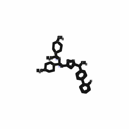 CC(c1ccc(-c2ccccc2F)cc1)c1cc(/N=C(\N=C(/N)N2CCN(C)CC2)N2CCN(C)CC2)on1